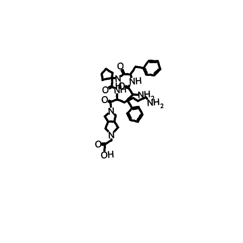 NCCCCC(NC(=O)C1(NC(=O)C(Cc2ccccc2)NC(=O)C(N)Cc2ccccc2)CCCC1)C(=O)N1CC2CN(CC(=O)O)CC2C1